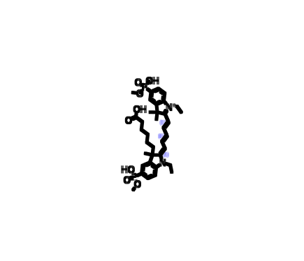 CCN1/C(=C/C=C/C=C/C2=[N+](CC)c3ccc(P(=O)(O)OC)cc3C2(C)C)C(C)(CCCCCC(=O)O)c2cc(P(=O)(O)OC)ccc21